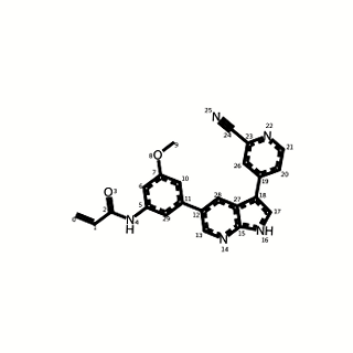 C=CC(=O)Nc1cc(OC)cc(-c2cnc3[nH]cc(-c4ccnc(C#N)c4)c3c2)c1